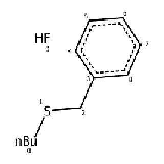 CCCCSCc1ccccc1.F